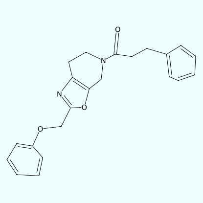 O=C(CCc1ccccc1)N1CCc2nc(COc3ccccc3)oc2C1